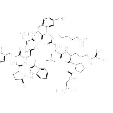 CNCCCCC[C@@H](NC(=O)[C@H](Cc1ccc(O)cc1)NC(=O)[C@H](CO)NC(=O)[C@H](Cc1c[nH]c2ccccc12)NC(=O)[C@H](Cc1cnc[nH]1)NC(=O)[C@@H]1CCC(=O)N1)C(=O)N[C@@H](CC(C)C)C(=O)NC(CCCNC(=N)N)C(=O)N1CCC[C@H]1C(=O)NCC(N)O